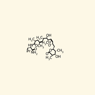 C/C(=C/[C@H](C)[C@@H](O)[C@@H](C)/C=C\[C@@H](O)C[C@@H]1OC(=O)[C@H](C)[C@@H](O)[C@H]1C)C[C@H](C)C(=O)N[C@H](CC(C)C)C(N)=O